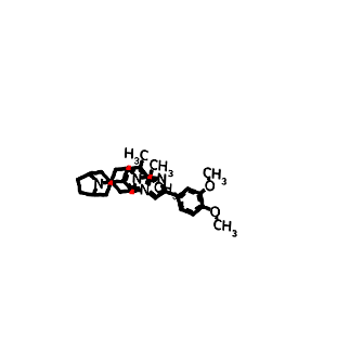 COc1ccc(-c2cn3cc(C4CC5CCC(C4)N5C4CCN(C(C)C)CC4)cc(C)c3n2)cc1OC